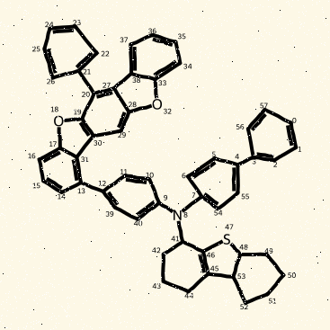 c1ccc(-c2ccc(N(c3ccc(-c4cccc5oc6c(-c7ccccc7)c7c(cc6c45)oc4ccccc47)cc3)C3CCCC4=C3SC3CCCCC43)cc2)cc1